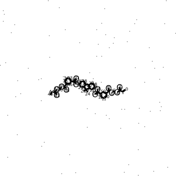 C=CC(=O)OCOC(=O)c1cccc(C(=O)Oc2ccc3c(c2)C(C)(C)c2cc(OC(=O)c4cccc(C(=O)OCOC(=O)C=C)c4)ccc2-3)c1